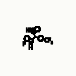 Fc1cccc2c(C(c3ccc(C(F)(F)F)cc3)c3c[nH]c4ccccc34)c[nH]c12